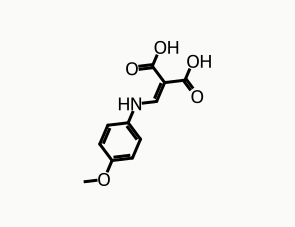 COc1ccc(NC=C(C(=O)O)C(=O)O)cc1